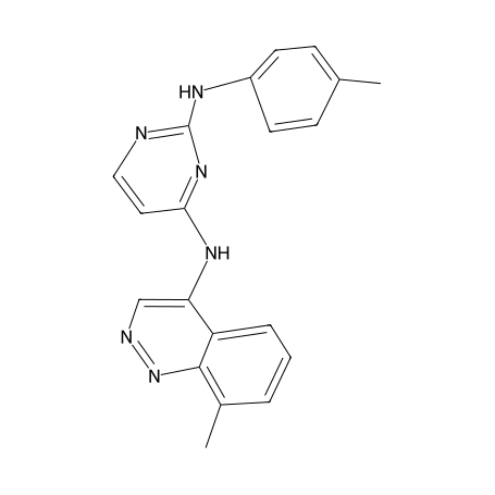 Cc1ccc(Nc2nccc(Nc3cnnc4c(C)cccc34)n2)cc1